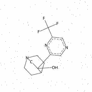 OC1(c2cncc(C(F)(F)F)n2)CN2CCC1CC2